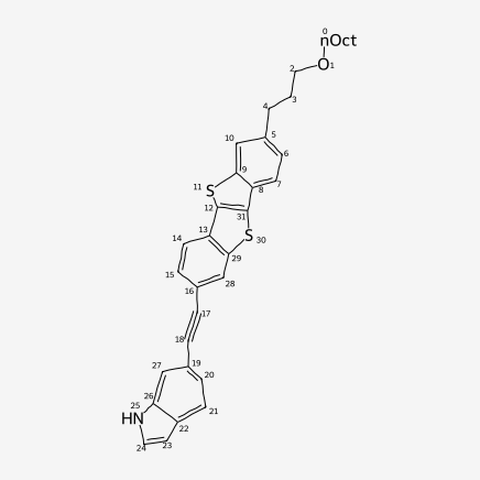 CCCCCCCCOCCCc1ccc2c(c1)sc1c3ccc(C#Cc4ccc5cc[nH]c5c4)cc3sc21